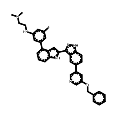 CN(C)CCNc1cc(F)cc(-c2cccc3[nH]c(-c4n[nH]c5ccc(-c6cncc(OCc7ccccc7)c6)cc45)cc23)c1